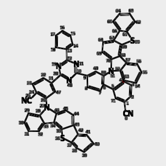 N#Cc1cccc(-c2ccc(-c3nc(-c4ccccc4)nc(-c4ccc(C#N)c(-n5c6ccccc6c6c7sc8ccccc8c7ccc65)c4)n3)cc2-n2c3ccccc3c3c4sc5ccccc5c4ccc32)c1